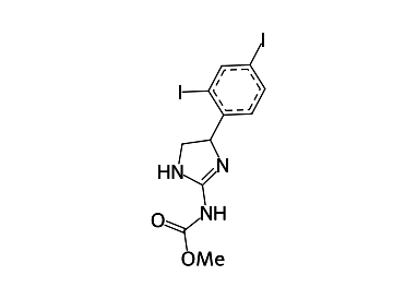 COC(=O)NC1=NC(c2ccc(I)cc2I)CN1